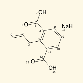 C=CCc1c(C(=O)O)cccc1C(=O)O.[NaH]